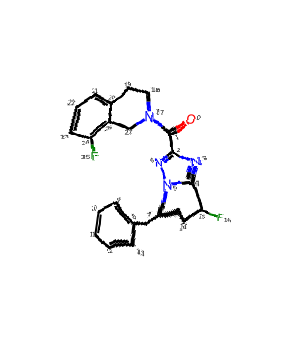 O=C(c1nc2n(n1)C(c1ccccc1)CC2F)N1CCc2cccc(F)c2C1